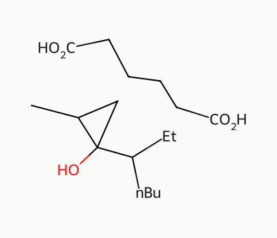 CCCCC(CC)C1(O)CC1C.O=C(O)CCCCC(=O)O